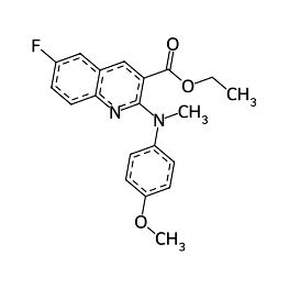 CCOC(=O)c1cc2cc(F)ccc2nc1N(C)c1ccc(OC)cc1